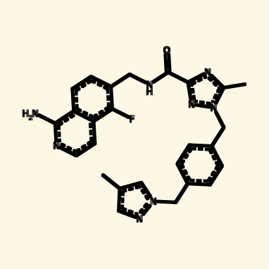 Cc1cnn(Cc2ccc(Cn3nc(C(=O)NCc4ccc5c(N)nccc5c4F)nc3C)cc2)c1